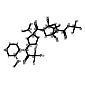 CO[C@@H]1COCC[C@@H]1N(C(=O)C(F)(F)F)[C@@H]1CC[C@@](C(=O)N2C[C@@H]3C(C)[C@H]2CN3C(=O)OC(C)(C)C)(C(C)C)C1